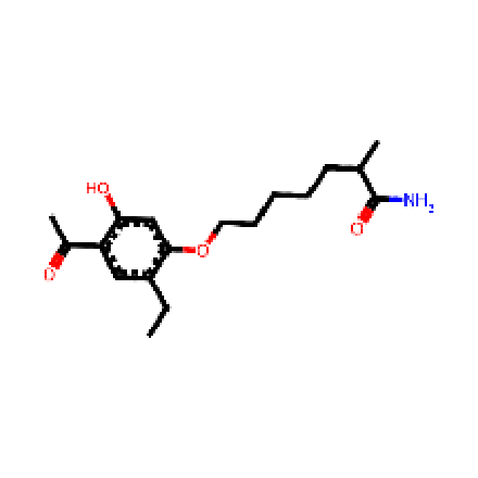 CCc1cc(C(C)=O)c(O)cc1OCCCCCC(C)C(N)=O